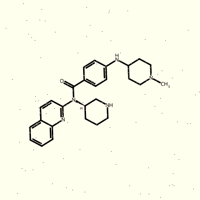 CN1CCC(Nc2ccc(C(=O)N(c3ccc4ccccc4n3)[C@@H]3CCCNC3)cc2)CC1